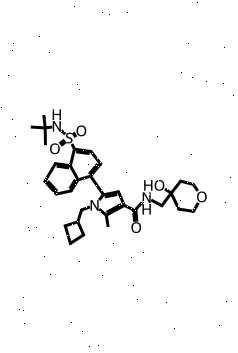 Cc1c(C(=O)NCC2(O)CCOCC2)cc(-c2ccc(S(=O)(=O)NC(C)(C)C)c3ccccc23)n1CC1CCC1